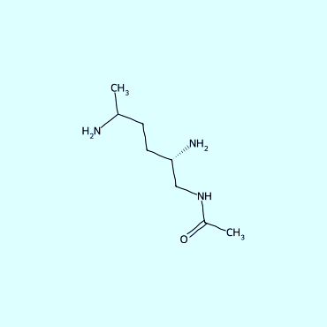 CC(=O)NC[C@@H](N)CCC(C)N